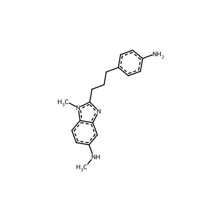 CNc1ccc2c(c1)nc(CCCc1ccc(N)cc1)n2C